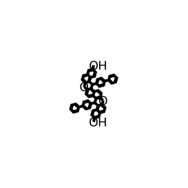 Oc1ccc2c3c(ccc2c1)Oc1ccc2c4c(ccc2c1C3c1ccc(-c2ccccc2)cc1)Oc1ccc2cc(O)ccc2c1C4c1ccc(-c2ccccc2)cc1